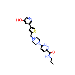 CCCNC(=O)c1ccc(N2CCN(Cc3cc(-c4cncc(O)c4)cs3)CC2)nn1